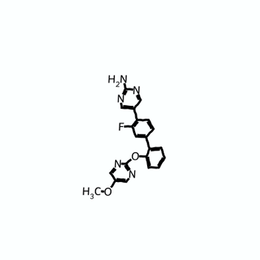 COc1cnc(Oc2ccccc2-c2ccc(-c3cnc(N)nc3)c(F)c2)nc1